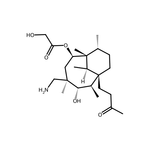 CC(=O)CC[C@]12CC[C@@H](C)[C@](C)([C@@H]1C)[C@H](OC(=O)CO)C[C@](C)(CN)[C@@H](O)[C@@H]2C